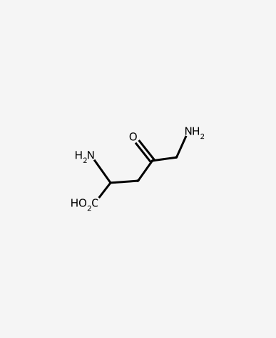 NCC(=O)CC(N)C(=O)O